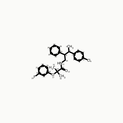 CC(c1ccc(Cl)cc1)C(CNC(=O)C(C)(C)Oc1cccc(F)c1)c1ccccc1